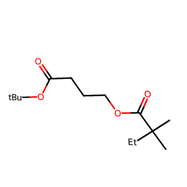 CCC(C)(C)C(=O)OCCCC(=O)OC(C)(C)C